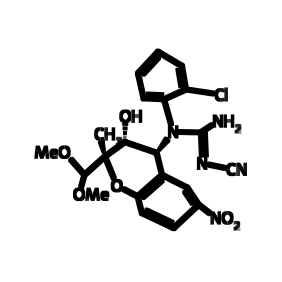 COC(OC)[C@@]1(C)Oc2ccc([N+](=O)[O-])cc2[C@H](N(C(N)=NC#N)c2ccccc2Cl)[C@H]1O